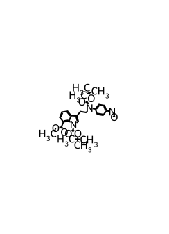 COC(=O)c1cccc2c(CCN(C(=O)OC(C)(C)C)c3ccc(N=O)cc3)cn(C(=O)OC(C)(C)C)c12